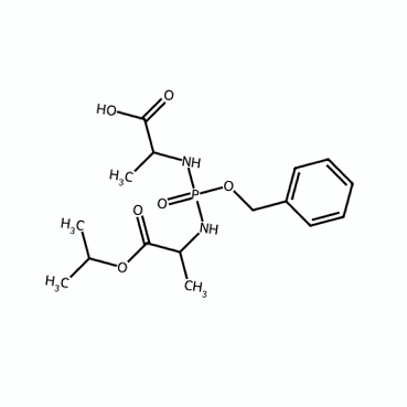 CC(C)OC(=O)C(C)NP(=O)(NC(C)C(=O)O)OCc1ccccc1